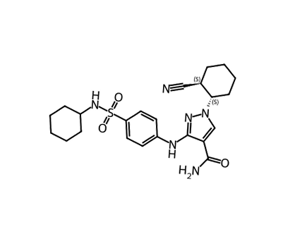 N#C[C@H]1CCCC[C@@H]1n1cc(C(N)=O)c(Nc2ccc(S(=O)(=O)NC3CCCCC3)cc2)n1